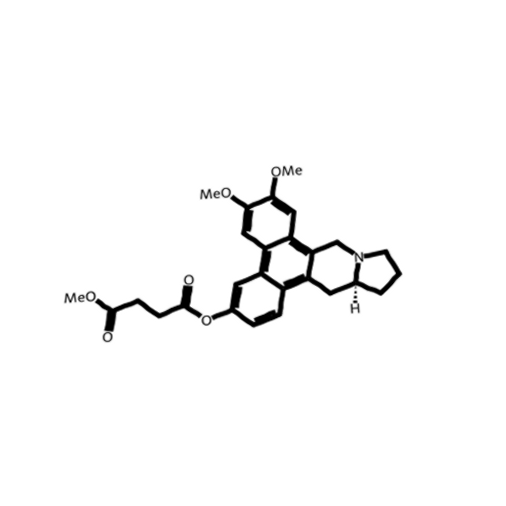 COC(=O)CCC(=O)Oc1ccc2c3c(c4cc(OC)c(OC)cc4c2c1)CN1CCC[C@H]1C3